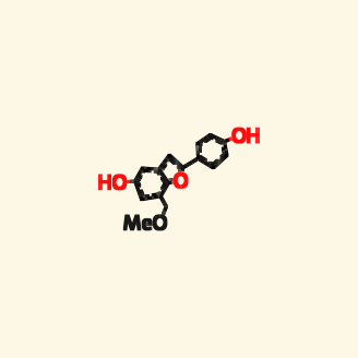 COCc1cc(O)cc2cc(-c3ccc(O)cc3)oc12